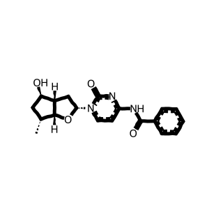 C[C@@H]1C[C@@H](O)[C@@H]2C[C@H](n3ccc(NC(=O)c4ccccc4)nc3=O)O[C@@H]21